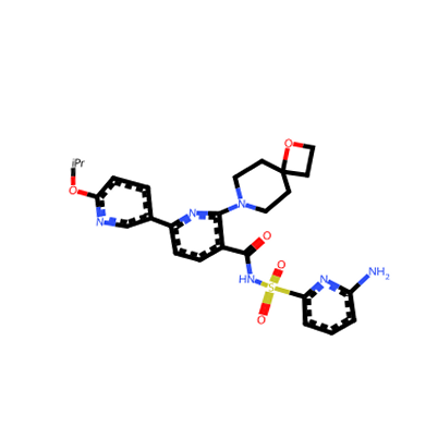 CC(C)Oc1ccc(-c2ccc(C(=O)NS(=O)(=O)c3cccc(N)n3)c(N3CCC4(CCO4)CC3)n2)cn1